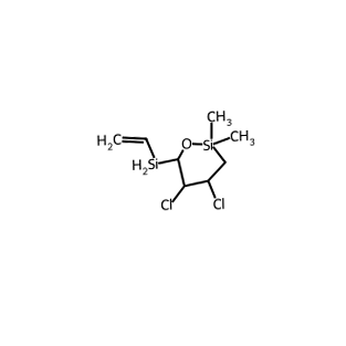 C=C[SiH2]C1O[Si](C)(C)CC(Cl)C1Cl